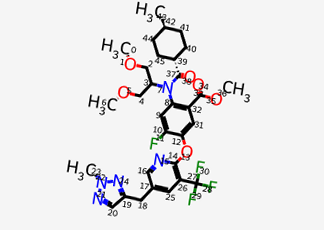 COCC(COC)N(c1cc(F)c(Oc2ncc(Cc3cnn(C)n3)cc2C(F)(F)F)cc1C(=O)OC)C(=O)[C@H]1CC[C@H](C)CC1